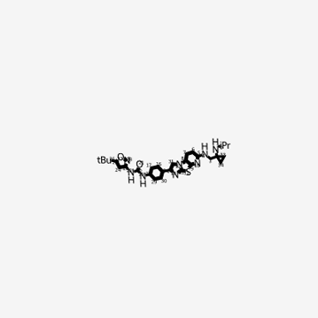 CC(C)NC1(CNc2ccc3c(n2)sc2nc(-c4ccc(NC(=O)Nc5cc(C(C)(C)C)on5)cc4)cn23)CC1